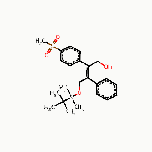 CC(C)(C)[Si](C)(C)OCC(=C(CO)c1ccc(S(C)(=O)=O)cc1)c1ccccc1